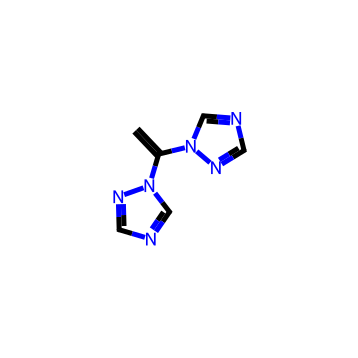 C=C(n1cncn1)n1cncn1